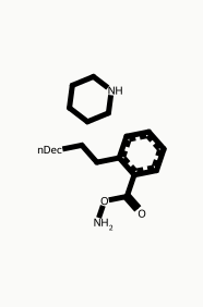 C1CCNCC1.CCCCCCCCCCCCc1ccccc1C(=O)ON